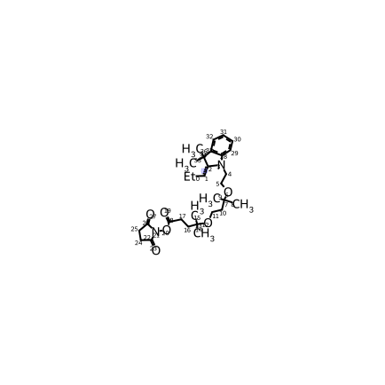 CC/C=C1/N(CCOC(C)(C)CCOC(C)(C)CCC(=O)ON2C(=O)CCC2=O)c2ccccc2C1(C)C